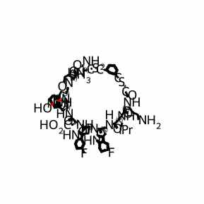 CC(C)C[C@H]1NC(=O)[C@H](CCCCN)NC(=O)CCSCc2cccc(c2)CSC[C@@H](C(N)=O)NC(=O)[C@]2(C)CCCN2C(=O)[C@H](Cc2ccc(O)cc2)NC(=O)[C@H](Cc2cnc[nH]2)NC(=O)[C@H](CC(=O)O)NC(=O)[C@H](Cc2c[nH]c3ccc(F)cc23)NC(=O)[C@@H](Cc2c[nH]c3ccc(F)cc23)NC1=O